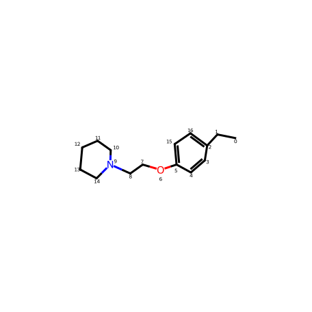 CCc1ccc(OCCN2CCCCC2)cc1